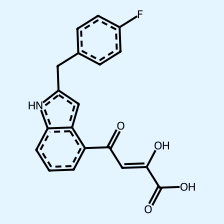 O=C(O)C(O)=CC(=O)c1cccc2[nH]c(Cc3ccc(F)cc3)cc12